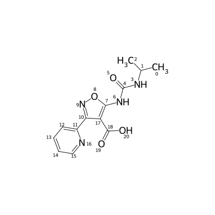 CC(C)NC(=O)Nc1onc(-c2ccccn2)c1C(=O)O